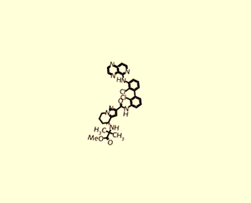 COC(=O)C(C)(C)N[C@@H]1CCCn2nc(C(=O)Nc3cccc(-c4cccc(Nc5nccc6nccnc56)c4Cl)c3Cl)cc21